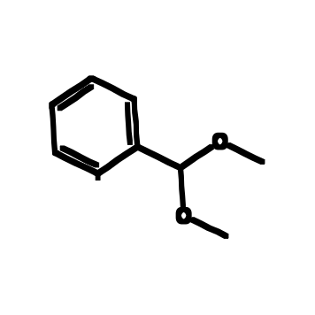 COC(OC)c1[c]cccc1